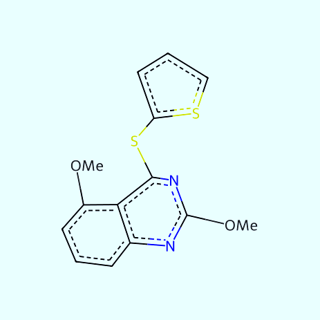 COc1nc(Sc2cccs2)c2c(OC)cccc2n1